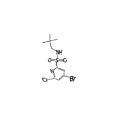 CC(C)(C)CNS(=O)(=O)c1cc(Br)cc(Cl)n1